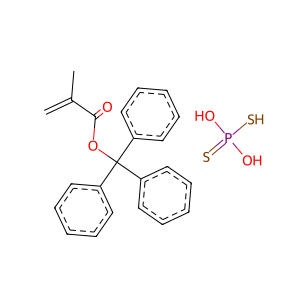 C=C(C)C(=O)OC(c1ccccc1)(c1ccccc1)c1ccccc1.OP(O)(=S)S